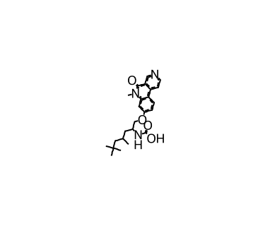 CC(CC(COc1ccc2c3ccncc3c(=O)n(C)c2c1)NC(=O)O)CC(C)(C)C